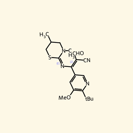 COc1cc(C(/N=C2/SCC(C)CN2C)=C(\C#N)C=O)cnc1C(C)(C)C